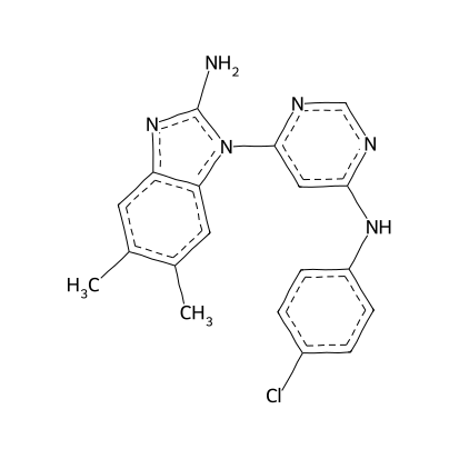 Cc1cc2nc(N)n(-c3cc(Nc4ccc(Cl)cc4)ncn3)c2cc1C